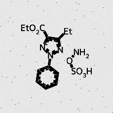 CCOC(=O)c1nn(-c2ccccc2)nc1CC.NOS(=O)(=O)O